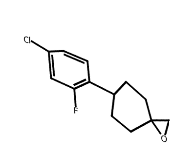 Fc1cc(Cl)ccc1C1CCC2(CC1)CO2